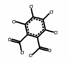 O=C(Cl)c1c(Cl)c(Cl)c(Cl)c(Cl)c1C(=O)Cl